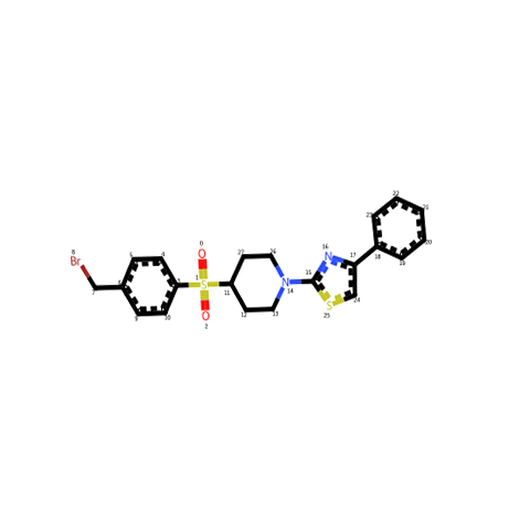 O=S(=O)(c1ccc(CBr)cc1)C1CCN(c2nc(-c3ccccc3)cs2)CC1